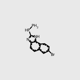 PPc1nc2ccc3cc(Br)ccc3c2[nH]1